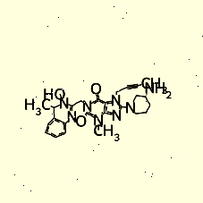 CC#CCn1c(N2CCC[C@@H](N)C2)nc2c1c(=O)n(CC1=Nc3ccccc3C(C)N1O)c(=O)n2C